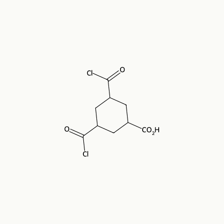 O=C(O)C1CC(C(=O)Cl)CC(C(=O)Cl)C1